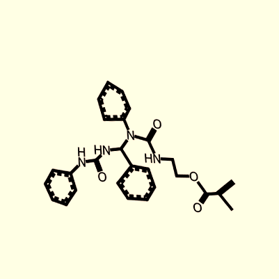 C=C(C)C(=O)OCCNC(=O)N(c1ccccc1)C(NC(=O)Nc1ccccc1)c1ccccc1